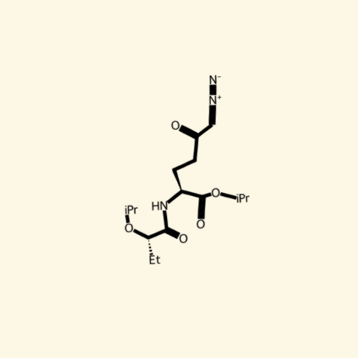 CC[C@H](OC(C)C)C(=O)N[C@@H](CCC(=O)C=[N+]=[N-])C(=O)OC(C)C